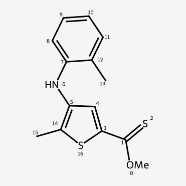 COC(=S)c1cc(Nc2ccccc2C)c(C)s1